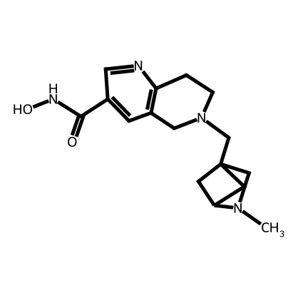 CN1CC2(CN3CCc4ncc(C(=O)NO)cc4C3)CC1C2